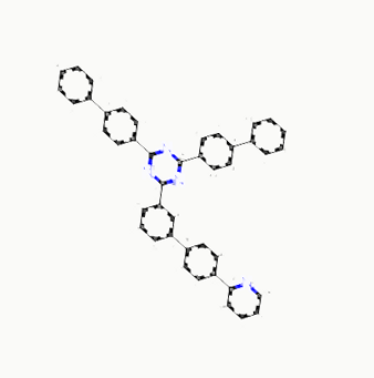 c1ccc(-c2ccc(-c3nc(-c4ccc(-c5ccccc5)cc4)nc(-c4cccc(-c5ccc(-c6ccccn6)cc5)c4)n3)cc2)cc1